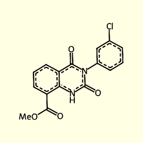 COC(=O)c1cccc2c(=O)n(-c3cccc(Cl)c3)c(=O)[nH]c12